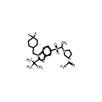 CC(N1CC[C@H](C(N)=O)C1)S(=O)(=O)c1ccc2c(c1)nc(C(C)(C)C)n2CC1CCC(F)(F)CC1